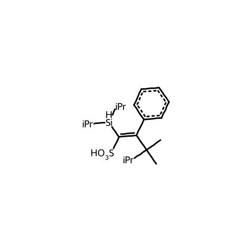 CC(C)[SiH](C(=C(c1ccccc1)C(C)(C)C(C)C)S(=O)(=O)O)C(C)C